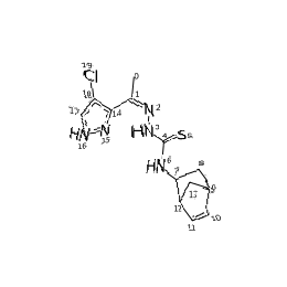 CC(=NNC(=S)NC1CC2C=CC1C2)c1n[nH]cc1Cl